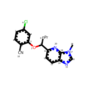 CCCC(Oc1cc(Cl)ccc1C#N)c1ccc2ncn(C)c2n1